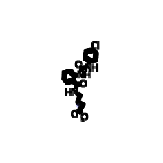 COC(=O)/C=C/CNC(=O)c1ccccc1NC(=O)Nc1ccc(Cl)cc1